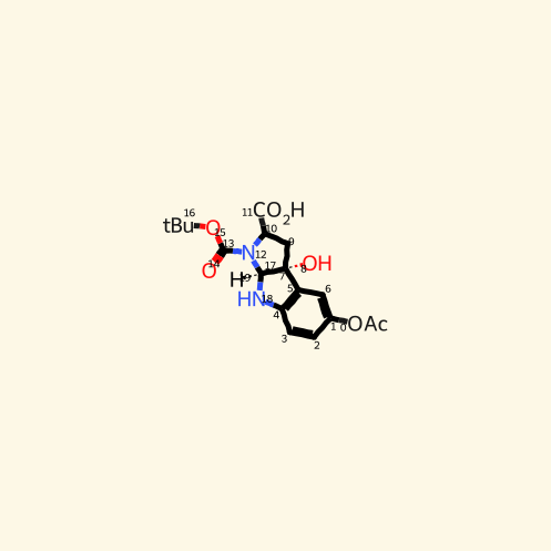 CC(=O)Oc1ccc2c(c1)[C@]1(O)CC(C(=O)O)N(C(=O)OC(C)(C)C)[C@@H]1N2